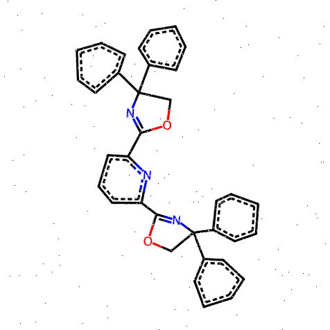 c1ccc(C2(c3ccccc3)COC(c3cccc(C4=NC(c5ccccc5)(c5ccccc5)CO4)n3)=N2)cc1